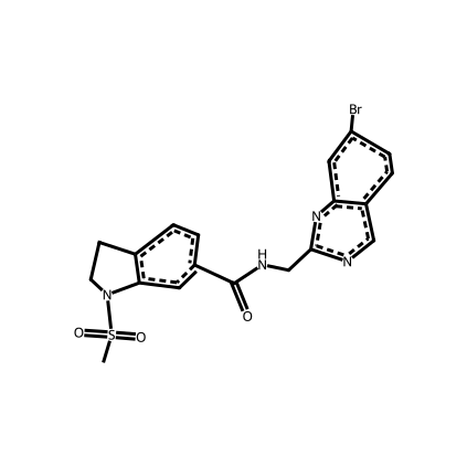 CS(=O)(=O)N1CCc2ccc(C(=O)NCc3ncc4ccc(Br)cc4n3)cc21